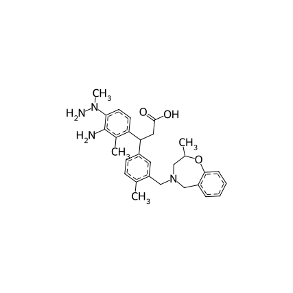 Cc1ccc(C(CC(=O)O)c2ccc(N(C)N)c(N)c2C)cc1CN1Cc2ccccc2OC(C)C1